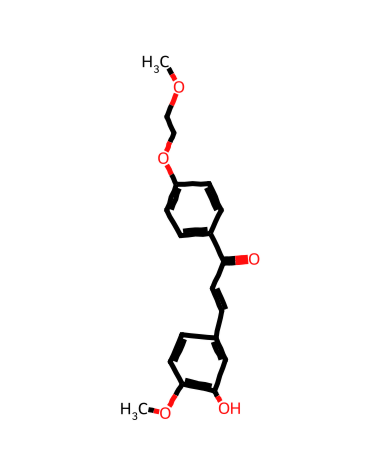 COCCOc1ccc(C(=O)C=Cc2ccc(OC)c(O)c2)cc1